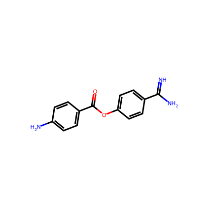 N=C(N)c1ccc(OC(=O)c2ccc(N)cc2)cc1